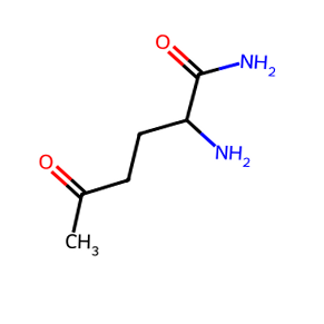 CC(=O)CCC(N)C(N)=O